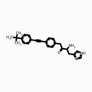 CC(C)(C)c1ccc(C#Cc2ccc(CC(=O)C(N)Cc3c[nH]cn3)cc2)cc1